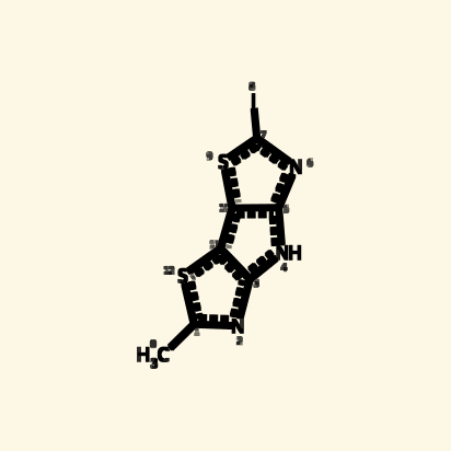 Cc1nc2[nH]c3nc(I)sc3c2s1